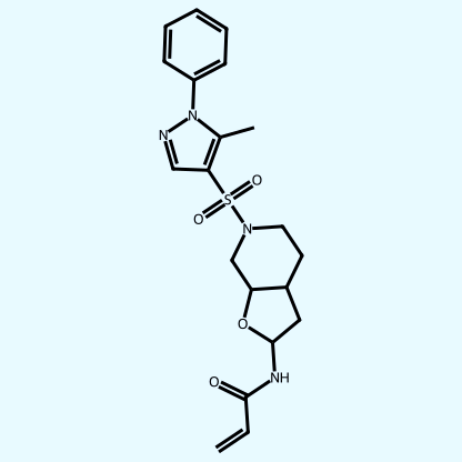 C=CC(=O)NC1CC2CCN(S(=O)(=O)c3cnn(-c4ccccc4)c3C)CC2O1